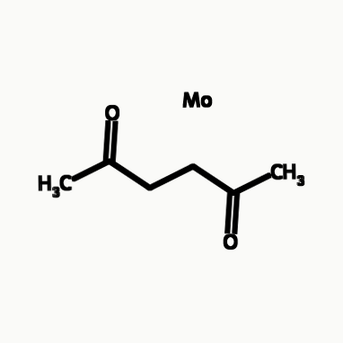 CC(=O)CCC(C)=O.[Mo]